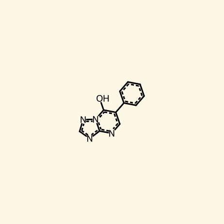 Oc1c(-c2ccccc2)cnc2ncnn12